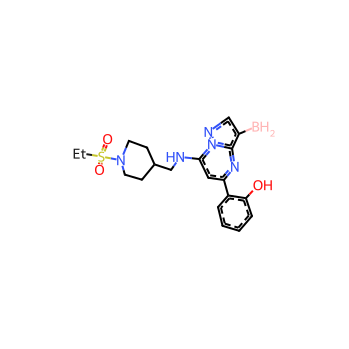 Bc1cnn2c(NCC3CCN(S(=O)(=O)CC)CC3)cc(-c3ccccc3O)nc12